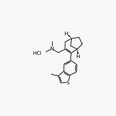 Cc1csc2ccc(C3=C(CN(C)C)C[C@@H]4CC[C@H]3C4)cc12.Cl